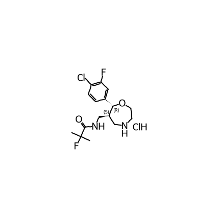 CC(C)(F)C(=O)NC[C@@H]1CNCCO[C@H]1c1ccc(Cl)c(F)c1.Cl